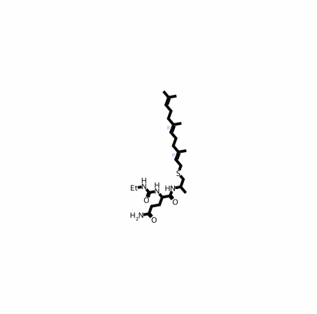 CCNC(=O)NC(CCC(N)=O)C(=O)NC(C)CSC/C=C(\C)CC/C=C(\C)CCC=C(C)C